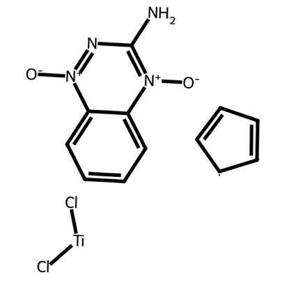 Nc1n[n+]([O-])c2ccccc2[n+]1[O-].[CH]1C=CC=C1.[Cl][Ti][Cl]